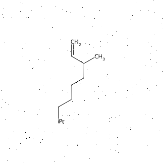 [CH2]C(C)CCCCC(C)C=C